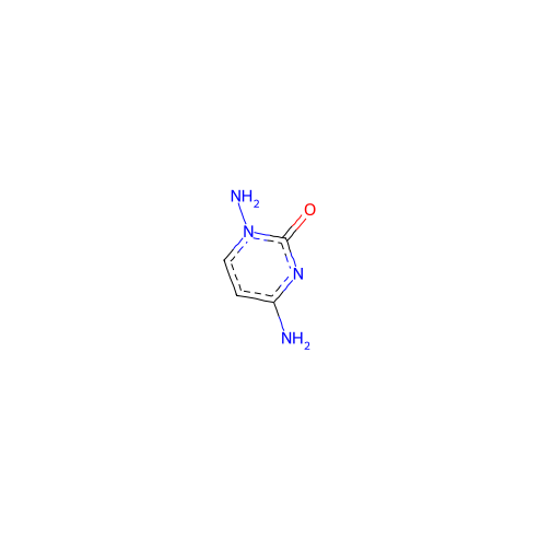 Nc1ccn(N)c(=O)n1